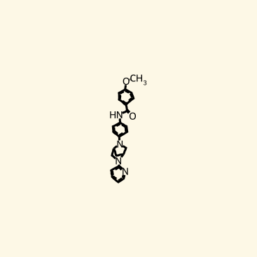 COc1ccc(C(=O)Nc2ccc(N3CC4CC3CN4c3ccccn3)cc2)cc1